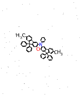 Cc1ccc2c(c1)C(c1ccccc1)(c1ccccc1)c1cc3c(cc1-2)N(c1ccccc1)c1cc2c(cc1O3)C(c1ccccc1)(c1ccccc1)c1cc(C)ccc1-2